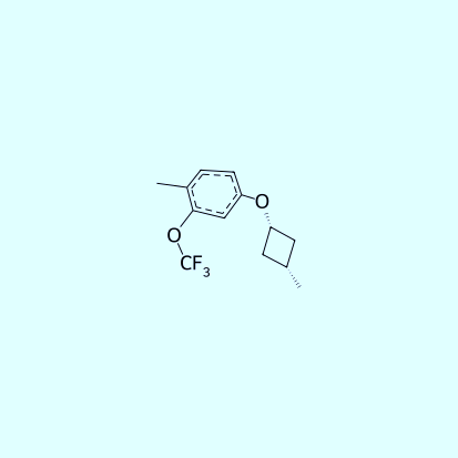 Cc1ccc(O[C@H]2C[C@@H](C)C2)cc1OC(F)(F)F